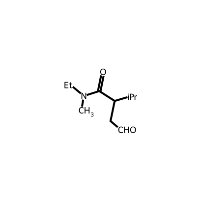 CCN(C)C(=O)C(CC=O)C(C)C